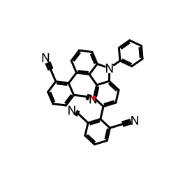 N#Cc1cccc(C#N)c1-c1ccc2c(c1)c1c(-c3c(C#N)cccc3C#N)cccc1n2-c1ccccc1